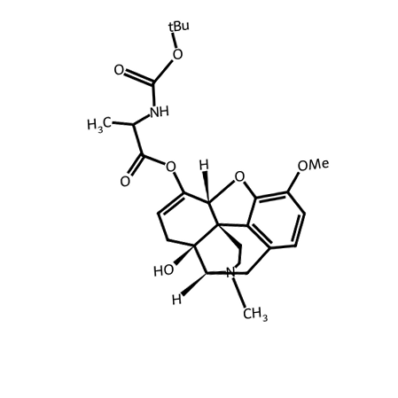 COc1ccc2c3c1O[C@H]1C(OC(=O)C(C)NC(=O)OC(C)(C)C)=CC[C@@]4(O)[C@@H](C2)N(C)CC[C@]314